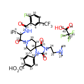 CC(C)C(NC(=O)c1cc(C(F)(F)F)ccc1F)C(=O)N1CCC2(CC1)C(=O)N(CCN(C)C)C(=O)N2c1ccc(C(=O)O)cc1.O=C(O)C(F)(F)F